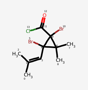 CC(C)=CC1(Br)C(C)(C)C1(Br)C(=O)Cl